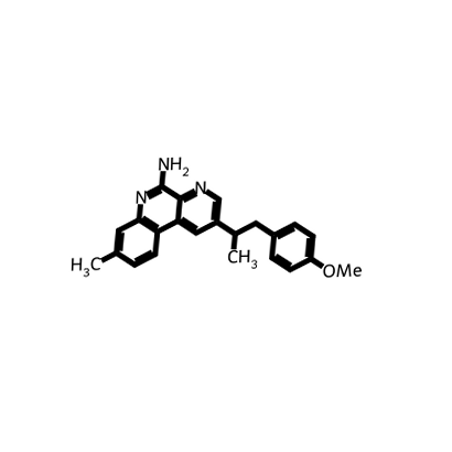 COc1ccc(CC(C)c2cnc3c(N)nc4cc(C)ccc4c3c2)cc1